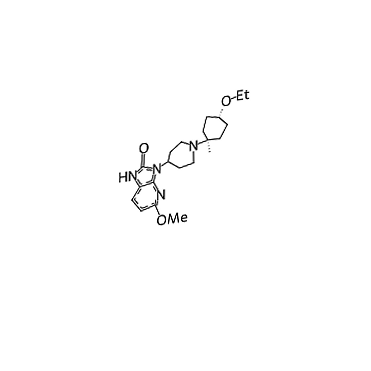 CCO[C@H]1CC[C@](C)(N2CCC(n3c(=O)[nH]c4ccc(OC)nc43)CC2)CC1